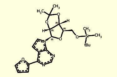 CC1(C)O[C@@H]2[C@H](O1)[C@@H](CO[Si](C)(C)C(C)(C)C)O[C@H]2n1ccc2c(-c3ccco3)ncnc21